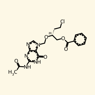 CC(=O)Nc1nc2ncn(CO[C@H](CCCl)COC(=O)c3ccccc3)c2c(=O)[nH]1